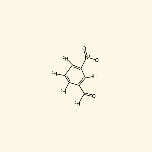 [2H]C(=O)c1c([2H])c([2H])c([2H])c([N+](=O)[O-])c1[2H]